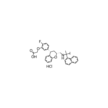 CC(I)(NC[C@H]1C[C@@H](c2ccc(F)c(OCC(=O)O)c2)c2ccccc2O1)c1cccc2ccccc12.Cl